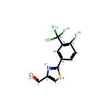 O=Cc1csc(-c2ccc(F)c(C(F)(F)F)c2)n1